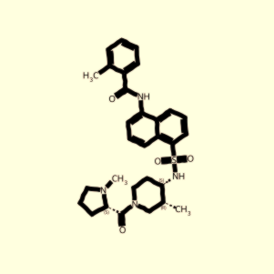 Cc1ccccc1C(=O)Nc1cccc2c(S(=O)(=O)N[C@H]3CCN(C(=O)[C@@H]4CCCN4C)C[C@H]3C)cccc12